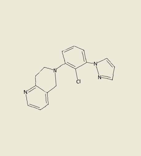 Clc1c(N2CCc3ncccc3C2)cccc1-n1cccn1